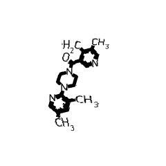 [CH2]c1c(C)cncc1C(=O)N1CCN(c2ncc(C)cc2C)CC1